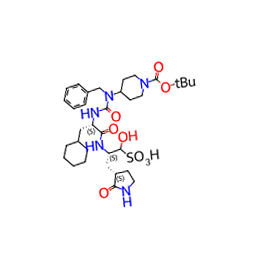 CC(C)(C)OC(=O)N1CCC(N(Cc2ccccc2)C(=O)N[C@@H](CC2CCCCC2)C(=O)N[C@@H](C[C@@H]2CCNC2=O)C(O)S(=O)(=O)O)CC1